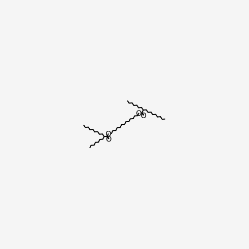 CCCCCCCCCC(CCCCCCC)C(=O)OCCCCCCCCCCCCCOC(=O)C(CCCCCCC)CCCCCCCCC